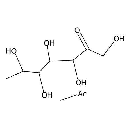 CC(C)=O.CC(O)C(O)C(O)C(O)C(=O)CO